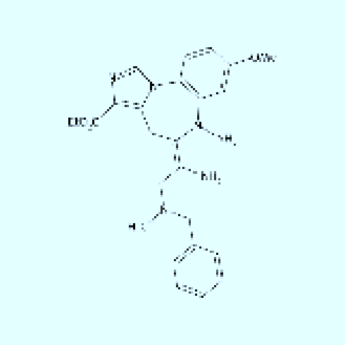 CCOC(=O)c1ncn2c1C/C(=C(/N)CN(C)Cc1ccccc1)N(N)c1cc(OC)ccc1-2